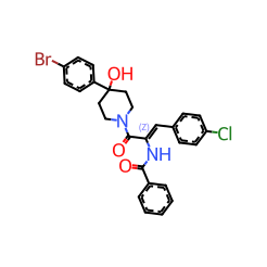 O=C(N/C(=C\c1ccc(Cl)cc1)C(=O)N1CCC(O)(c2ccc(Br)cc2)CC1)c1ccccc1